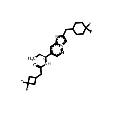 CC[C@H](NC(=O)CC1CC(F)(F)C1)c1cnn2cc(CC3CCC(F)(F)CC3)nc2c1